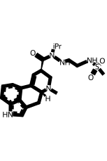 CC(C)N(NCCNS(C)(=O)=O)C(=O)[C@@H]1C=C2c3cccc4[nH]cc(c34)C[C@H]2N(C)C1